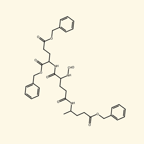 CC(CCC(=O)OCc1ccccc1)NC(=O)CCC(NC=O)C(=O)NC(CCC(=O)OCc1ccccc1)C(=O)OCc1ccccc1